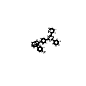 Brc1ccc(C23CC4CC(C2)CC(c2ccc(-c5nc(-c6ccccc6)nc(-c6ccccn6)n5)cc2)(C4)C3)cc1